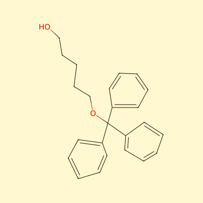 OCCCCCOC(c1ccccc1)(c1ccccc1)c1ccccc1